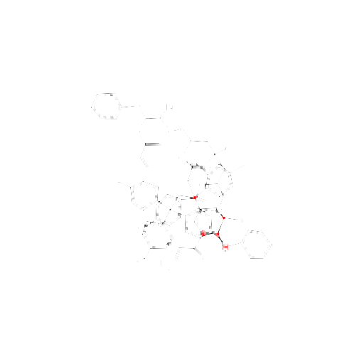 C=CC(=O)OC(Oc1ccccc1)C(Br)OCC(CC(C)(C)CC(COC(Br)C(OC(=O)C=C)Oc1ccccc1)OC(=O)CC(c1ccc(Cl)cc1)(c1ccc(Cl)cc1)c1ccc(Cl)cc1Br)OC(=O)CC(c1ccc(Cl)cc1)(c1ccc(Cl)cc1)c1ccc(Cl)cc1Br